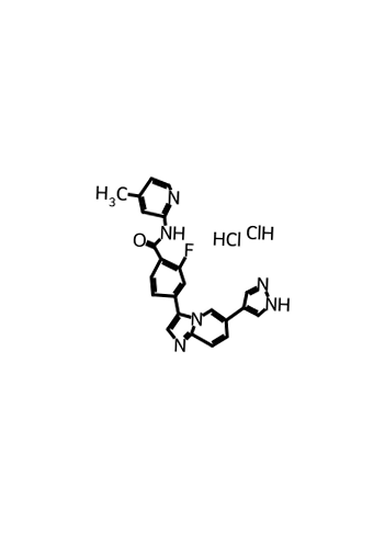 Cc1ccnc(NC(=O)c2ccc(-c3cnc4ccc(-c5cn[nH]c5)cn34)cc2F)c1.Cl.Cl